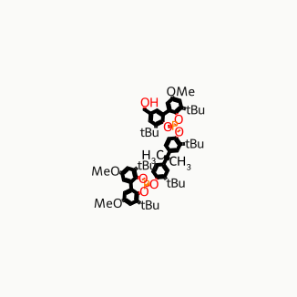 COc1cc(C(C)(C)C)c2op(Oc3ccc(C(C)(C)c4ccc(Op5oc6c(C(C)(C)C)cc(OC)cc6c6cc(OC)cc(C(C)(C)C)c6o5)c(C(C)(C)C)c4)cc3C(C)(C)C)oc3c(C(C)(C)C)cc(CO)cc3c2c1